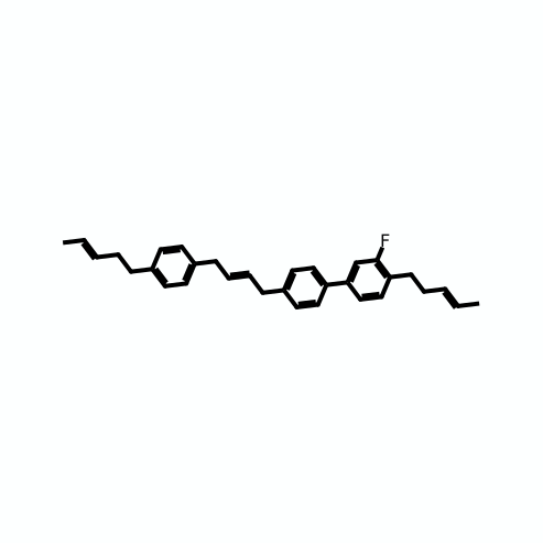 C/C=C/CCc1ccc(C/C=C/Cc2ccc(-c3ccc(CC/C=C/C)c(F)c3)cc2)cc1